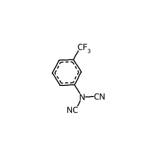 N#CN(C#N)c1cccc(C(F)(F)F)c1